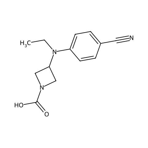 CCN(c1ccc(C#N)cc1)C1CN(C(=O)O)C1